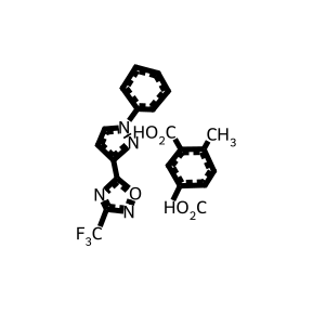 Cc1ccc(C(=O)O)cc1C(=O)O.FC(F)(F)c1noc(-c2ccn(-c3ccccc3)n2)n1